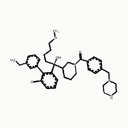 CCc1cccc(-c2c(Cl)cccc2[C@](O)(CCCCOC)C2CCCN(C(=O)c3ccc(CN4CCNCC4)cc3)C2)c1